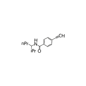 C#Cc1ccc(C(=O)NC(CCC)C(C)C)cc1